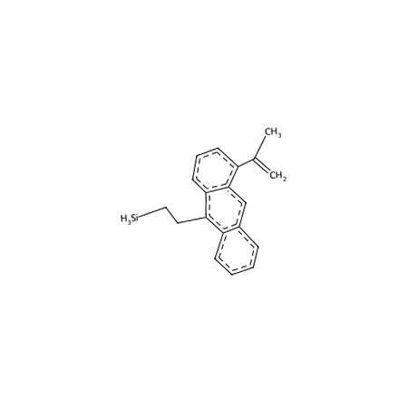 C=C(C)c1cccc2c(CC[SiH3])c3ccccc3cc12